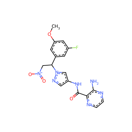 COc1cc(F)cc(C(C[N+](=O)[O-])n2cc(NC(=O)c3nccnc3N)cn2)c1